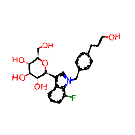 OCCCc1ccc(Cn2cc([C@@H]3O[C@H](CO)[C@@H](O)[C@H](O)[C@H]3O)c3cccc(F)c32)cc1